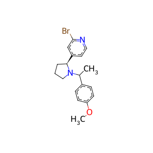 COc1ccc(C(C)N2CCC[C@H]2c2ccnc(Br)c2)cc1